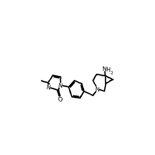 Cc1ccn(-c2ccc(CN3CCC4(N)CC4C3)cc2)c(=O)n1